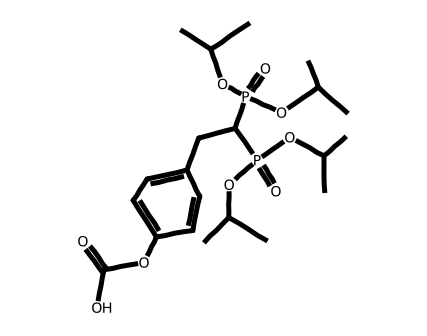 CC(C)OP(=O)(OC(C)C)C(Cc1ccc(OC(=O)O)cc1)P(=O)(OC(C)C)OC(C)C